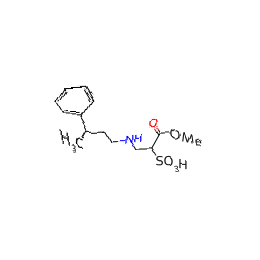 COC(=O)C(CNCCC(C)c1ccccc1)S(=O)(=O)O